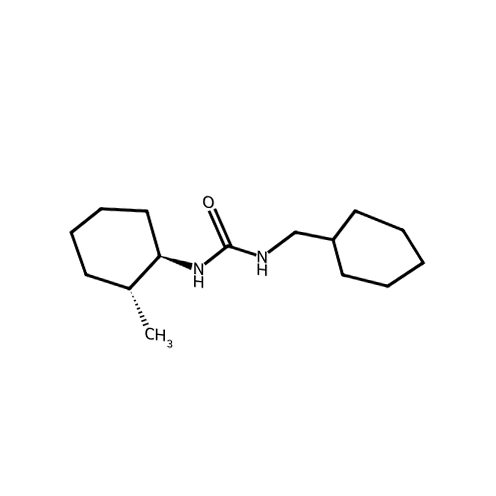 C[C@@H]1CCCC[C@H]1NC(=O)NCC1CCCCC1